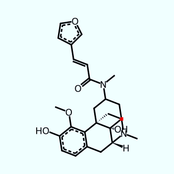 COc1c(O)ccc2c1[C@]13CCN(C)[C@H](C2)[C@]1(O)CCC(N(C)C(=O)/C=C/c1ccoc1)C3